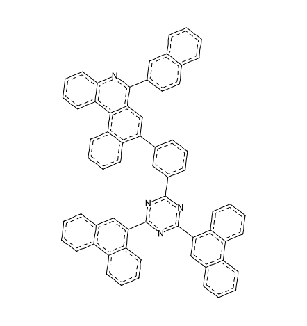 c1cc(-c2nc(-c3cc4ccccc4c4ccccc34)nc(-c3cc4ccccc4c4ccccc34)n2)cc(-c2cc3c(-c4ccc5ccccc5c4)nc4ccccc4c3c3ccccc23)c1